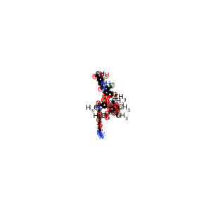 COc1ccc2c(OS(=O)(=O)Oc3cc(C(=O)N(C)CCOCCOCCOCCN=[N+]=[N-])ccc3O[C@@H]3O[C@H](COC(C)=O)[C@H](OC(C)=O)[C@H](OC(C)=O)C3OC(C)=O)cc3c(c2c1)[C@H](CCl)CN3C(=O)c1cc2cc(C(C)=O)c(O)cc2[nH]1